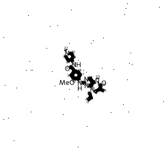 C=CCN1CC(C)C(=O)N(C)c2cnc(Nc3ccc(C(=O)NC4CCN(C)CC4)cc3OC)nc21